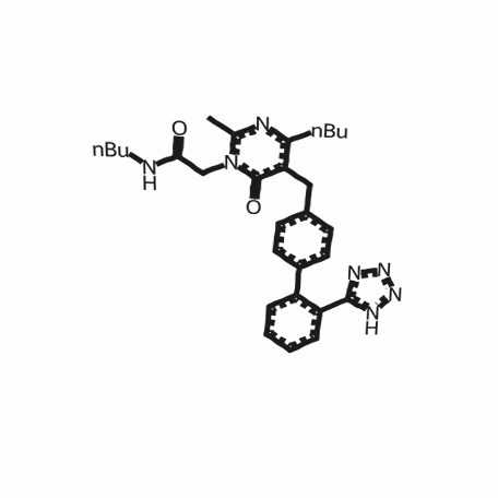 CCCCNC(=O)Cn1c(C)nc(CCCC)c(Cc2ccc(-c3ccccc3-c3nnn[nH]3)cc2)c1=O